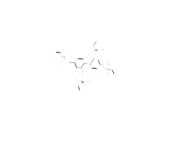 C=CC(=O)OCc1ccc(-c2ccc(OC(=O)C=C)cc2OC(=O)C=C)c(COC(=O)C=C)c1